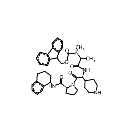 C[C@@H](C(=O)N[C@H](C(=O)N1CCC[C@H]1C(=O)N[C@@H]1CCCc2ccccc21)C1CCNCC1)N(C)C(=O)OCC1c2ccccc2-c2ccccc21